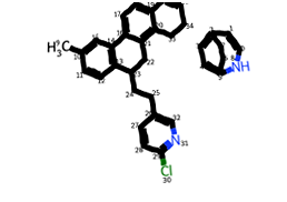 C1=CC2=CC=C(CC2)N1.Cc1ccc2c(c1)-c1ccc3c(c1CC2CCc1ccc(Cl)nc1)CCC=C3